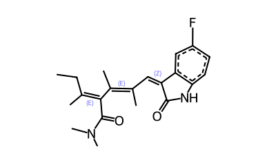 CC\C(C)=C(C(=O)N(C)C)/C(C)=C(C)/C=C1\C(=O)Nc2ccc(F)cc21